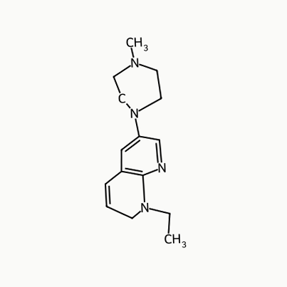 CCN1CC=Cc2cc(N3CCN(C)CC3)cnc21